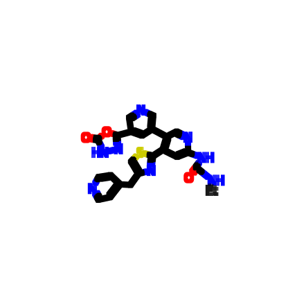 CCNC(=O)Nc1cc(-c2nc(Cc3ccncc3)cs2)c(-c2cncc(-c3n[nH]c(=O)o3)c2)cn1